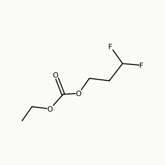 CCOC(=O)OCCC(F)F